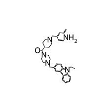 C=C/C=C(\C=C/N)CN1CCC(C(=O)N2CCN(Cc3ccc4c(c3)c3ccccc3n4CC)CC2)CC1